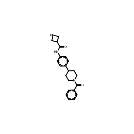 O=C(Nc1ccc(C2CCN(C(=O)c3ccccc3)CC2)cc1)C1CNC1